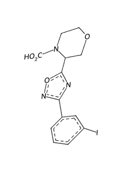 O=C(O)N1CCOCC1c1nc(-c2cccc(I)c2)no1